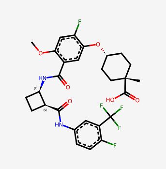 COc1cc(F)c(O[C@H]2CC[C@@](C)(C(=O)O)CC2)cc1C(=O)N[C@@H]1CC[C@@H]1C(=O)Nc1ccc(F)c(C(F)(F)F)c1